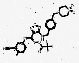 N#Cc1cc(NC(=NOC(=O)C(F)(F)F)c2nonc2NCc2ccc(CN3CCS(=O)(=O)CC3)cc2)ccc1F